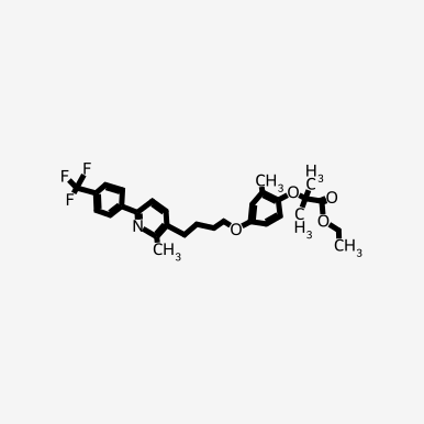 CCOC(=O)C(C)(C)Oc1ccc(OCCCCc2ccc(-c3ccc(C(F)(F)F)cc3)nc2C)cc1C